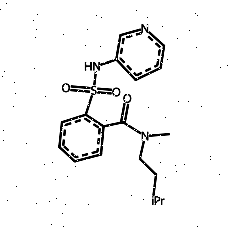 CC(C)CCN(C)C(=O)c1ccccc1S(=O)(=O)Nc1cccnc1